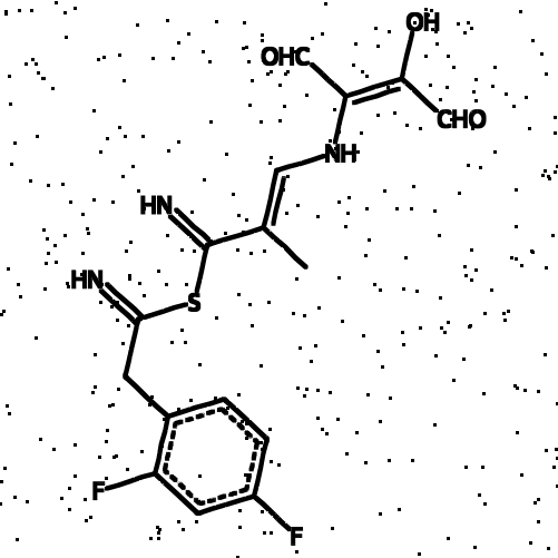 C/C(=C\N/C(C=O)=C(/O)C=O)C(=N)SC(=N)Cc1ccc(F)cc1F